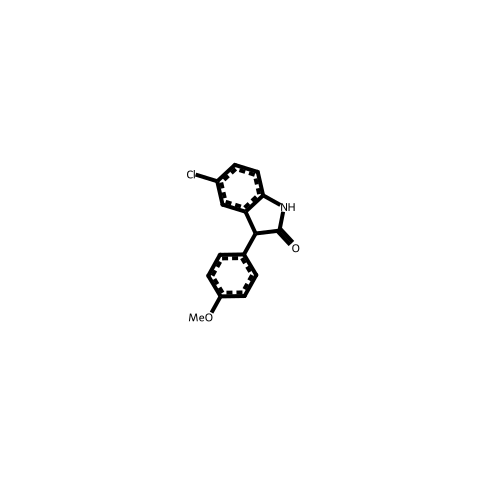 COc1ccc(C2C(=O)Nc3ccc(Cl)cc32)cc1